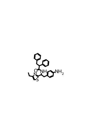 CCc1csc(C(Cc2ccc(N)cc2)NC(=O)C(Cc2ccccc2)c2ccccc2)n1